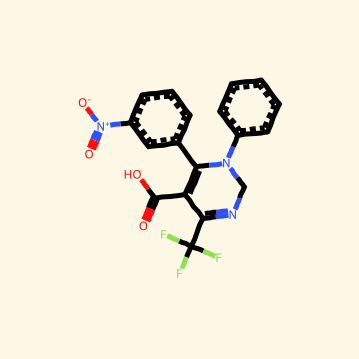 O=C(O)C1=C(c2cccc([N+](=O)[O-])c2)N(c2ccccc2)CN=C1C(F)(F)F